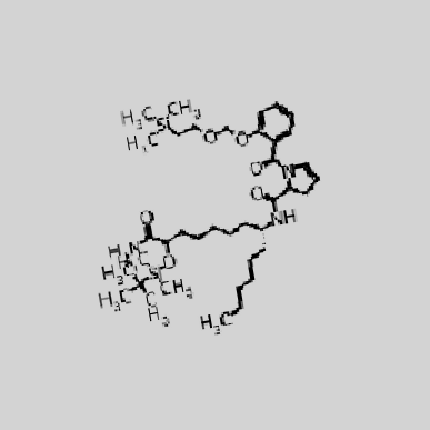 CCCCCC[C@H](CCCCC[C@@H](O[Si](C)(C)C(C)(C)C)C(N)=O)NC(=O)C1CC=CN1C(=O)c1ccccc1OCOCC[Si](C)(C)C